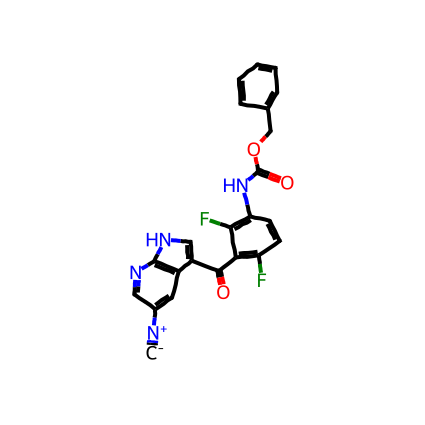 [C-]#[N+]c1cnc2[nH]cc(C(=O)c3c(F)ccc(NC(=O)OCc4ccccc4)c3F)c2c1